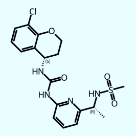 C[C@@H](NS(C)(=O)=O)c1cccc(NC(=O)N[C@H]2CCOc3c(Cl)cccc32)n1